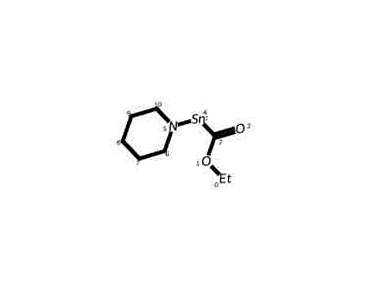 CCO[C](=O)[Sn][N]1CCCCC1